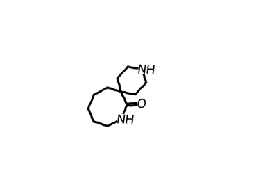 O=C1NCCCCCC12CCNCC2